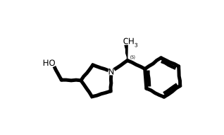 C[C@@H](c1ccccc1)N1CCC(CO)C1